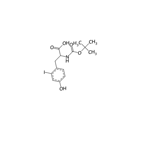 CC(C)(C)OC(=O)NC(Cc1ccc(O)cc1I)C(=O)O